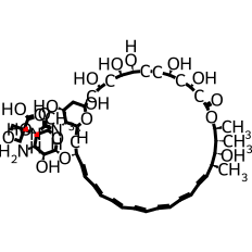 C[C@@H]1[C@H](O)[C@@H](C)/C=C/C=C/C=C/C=C/C=C/C=C/C=C/[C@H](O[C@@H]2O[C@H](C)[C@@H](O)[C@H](N)[C@@H]2O)C[C@@H]2O[C@](O)(C[C@@H](O)C[C@@H](O)[C@H](O)CC[C@@H](O)C[C@@H](O)CC(=O)O[C@H]1C)C[C@H](O)[C@H]2NC(=O)NC1(C(=O)O)COC1